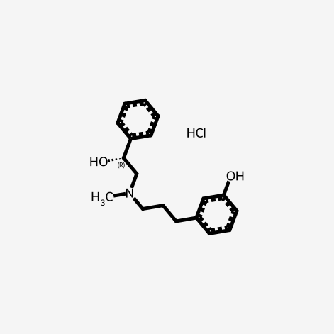 CN(CCCc1cccc(O)c1)C[C@H](O)c1ccccc1.Cl